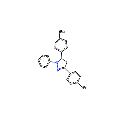 CC(C)c1ccc(C2=NN(c3ccccc3)C(c3ccc(C(C)(C)C)cc3)C2)cc1